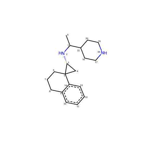 CC(N[C@@H]1CC12CCCc1ccccc12)C1CCNCC1